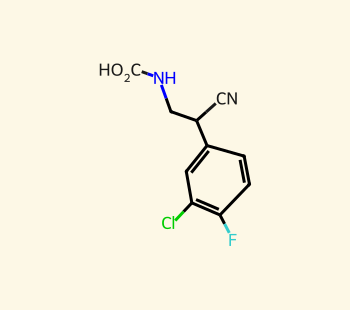 N#CC(CNC(=O)O)c1ccc(F)c(Cl)c1